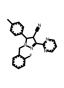 Cc1ccc(C2C(C#N)C(c3ncccn3)=NN2Cc2ccccc2F)cc1